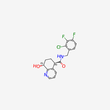 O=C(NCc1ccc(F)c(F)c1Cl)[C@@H]1CC[C@H](O)c2ncccc21